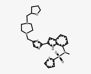 CN(c1cccc2cc(-c3ncc(CN4CCN(CC5CCCO5)CC4)s3)[nH]c12)S(=O)(=O)c1cccs1